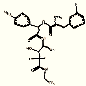 COc1ccc(C(NC(=O)C(N)Cc2cccc(F)c2)C(=O)NC(C(C)C)C(O)C(F)(F)C(=O)NCC(F)(F)F)cc1